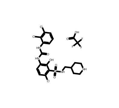 O=C(Nc1ccc(Cl)c(S(=O)(=O)NCC2CCNCC2)c1O)Nc1cccc(Cl)c1Cl.O=C(O)C(F)(F)F